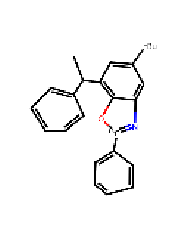 CC(c1ccccc1)c1cc(C(C)(C)C)cc2n[13c](-c3ccccc3)oc12